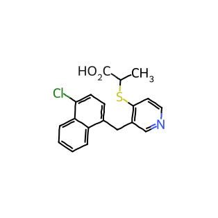 CC(Sc1ccncc1Cc1ccc(Cl)c2ccccc12)C(=O)O